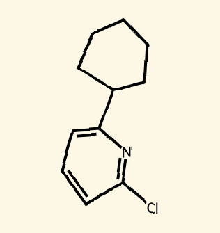 Clc1cccc(C2CCCCC2)n1